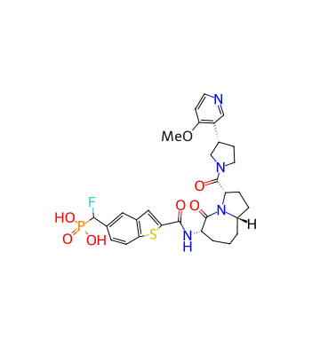 COc1ccncc1[C@@H]1CCN(C(=O)[C@@H]2CC[C@@H]3CCC[C@H](NC(=O)c4cc5cc(C(F)P(=O)(O)O)ccc5s4)C(=O)N32)C1